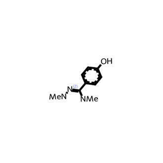 CN/N=C(\NC)c1ccc(O)cc1